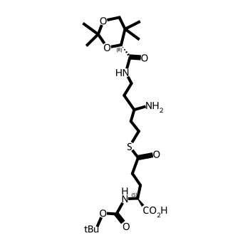 CC(C)(C)OC(=O)N[C@@H](CCC(=O)SCCC(N)CCNC(=O)[C@@H]1OC(C)(C)OCC1(C)C)C(=O)O